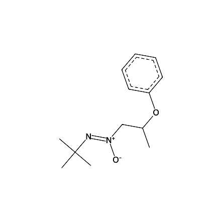 CC(C/[N+]([O-])=N/C(C)(C)C)Oc1ccccc1